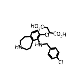 Clc1ccc(CNc2c(Cl)ccc3c2CCNCC3)cc1.O=C(O)CCC(=O)O